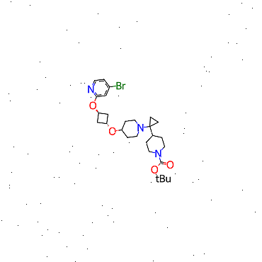 CC(C)(C)OC(=O)N1CCC(C2(N3CCC(O[C@H]4C[C@H](Oc5cc(Br)ccn5)C4)CC3)CC2)CC1